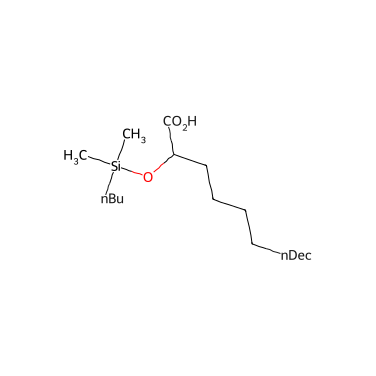 CCCCCCCCCCCCCCC(O[Si](C)(C)CCCC)C(=O)O